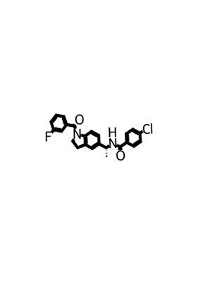 C[C@@H](NC(=O)c1ccc(Cl)cc1)c1ccc2c(c1)CCN2C(=O)c1cccc(F)c1